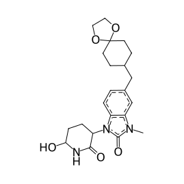 Cn1c(=O)n(C2CCC(O)NC2=O)c2ccc(CC3CCC4(CC3)OCCO4)cc21